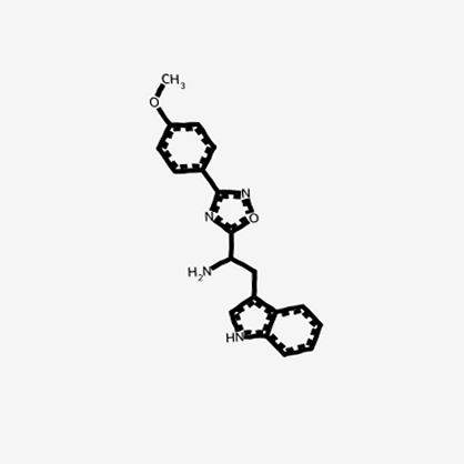 COc1ccc(-c2noc(C(N)Cc3c[nH]c4ccccc34)n2)cc1